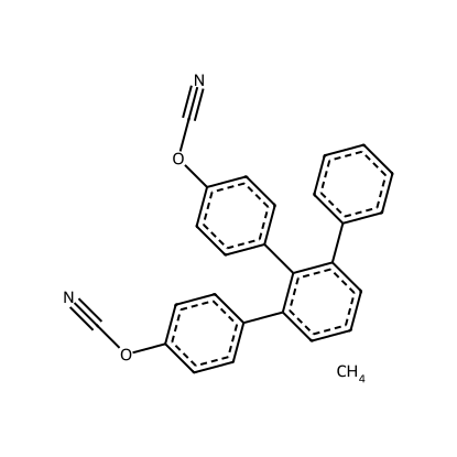 C.N#COc1ccc(-c2cccc(-c3ccccc3)c2-c2ccc(OC#N)cc2)cc1